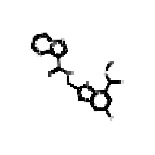 CC(C)OC(=O)c1cc(Cl)cc2cc(CNC(=O)c3cnn4cccnc34)oc12